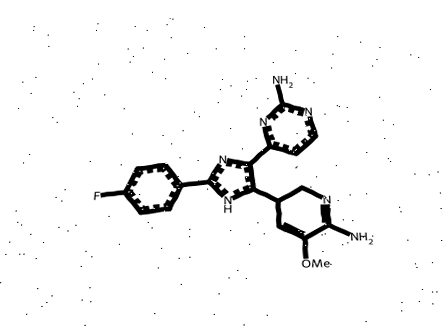 COC1=CC(c2[nH]c(-c3ccc(F)cc3)nc2-c2ccnc(N)n2)CN=C1N